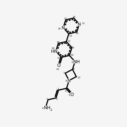 NCC=CC(=O)N1CC(Nc2cc(-c3cnccn3)c[nH]c2=O)C1